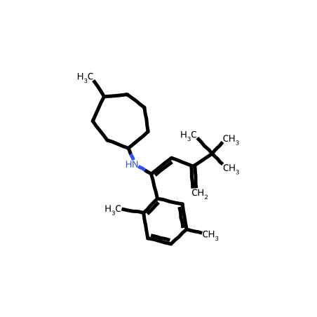 C=C(/C=C(/NC1CCCC(C)CC1)c1cc(C)ccc1C)C(C)(C)C